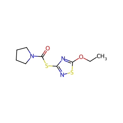 CCOc1nc(SC(=O)N2CCCC2)ns1